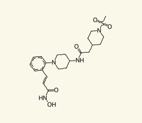 CS(=O)(=O)N1CCC(CC(=O)NC2CCN(c3ccccc3/C=C/C(=O)NO)CC2)CC1